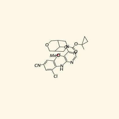 [C-]#[N+]c1cc(Cl)c(Nc2ncnc(OC3C4COCC3CN(C(=O)OC3(C)CC3)C4)c2OC)c(Cl)c1